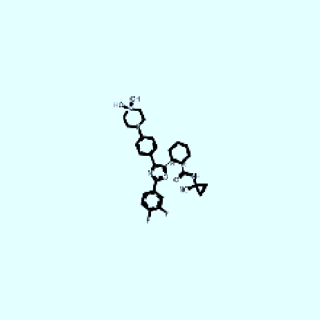 N#CC1(NC(=O)[C@@H]2CCCC[C@H]2c2oc(-c3ccc(F)c(F)c3)nc2-c2ccc(N3CCS(O)(O)CC3)cc2)CC1